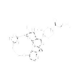 C=CC(=O)N1CCN(c2nc(=O)n3c4nc(c(F)cc24)-c2nc(no2)CCCOc2ccnc(C(C)C)c2-3)[C@@H](C)C1